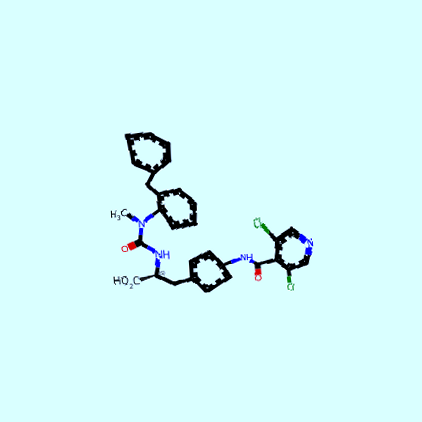 CN(C(=O)N[C@@H](Cc1ccc(NC(=O)c2c(Cl)cncc2Cl)cc1)C(=O)O)c1ccccc1Cc1ccccc1